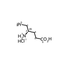 CC(C)C[C@H](N)CCC(=O)O.Cl